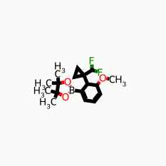 COC1C=CC=C(B2OC(C)(C)C(C)(C)O2)C1C1(C(F)F)CC1